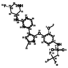 COc1cc(NS(=O)(=O)CC(F)(F)F)ccc1Oc1nc(C)sc1-c1ccnc(N[C@@H]2CNC[C@@H](F)C2)n1